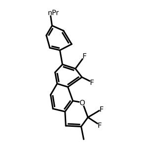 CCCc1ccc(-c2cc3ccc4c(c3c(F)c2F)OC(F)(F)C(C)=C4)cc1